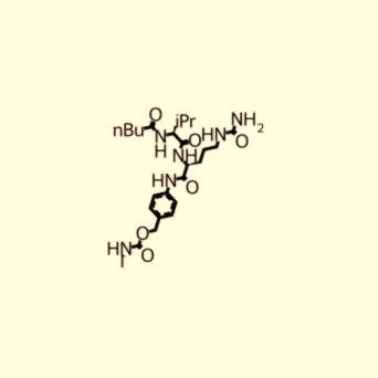 CCCCC(=O)N[C@H](C(=O)N[C@@H](CCCNC(N)=O)C(=O)Nc1ccc(COC(=O)NI)cc1)C(C)C